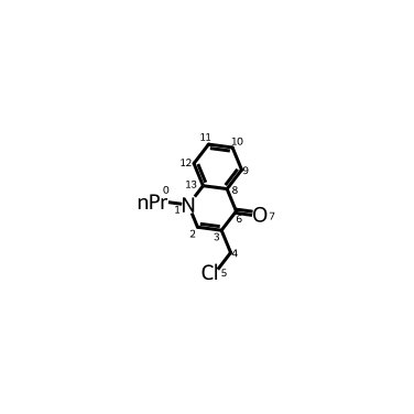 CCCn1cc(CCl)c(=O)c2ccccc21